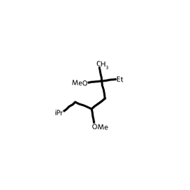 [CH2]CC(C)(CC(CC(C)C)OC)OC